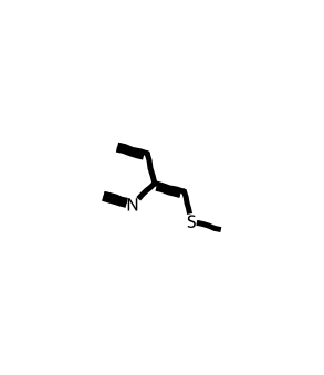 C=C/C(=C/SC)N=C